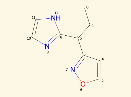 CC[C](c1ccon1)c1ncc[nH]1